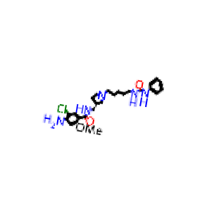 COc1cc(N)c(Cl)cc1C(=O)NC[C@H]1CCN(CCCCCNC(=O)Nc2ccccc2)C1